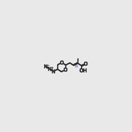 C/C(=C\CC1OCC(N=[N+]=[N-])CO1)C(=O)O